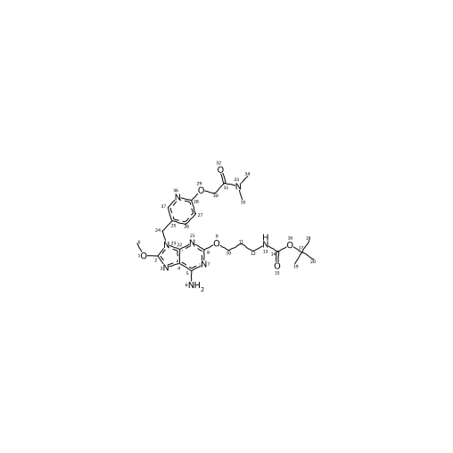 COc1nc2c(N)nc(OCCCNC(=O)OC(C)(C)C)nc2n1Cc1ccc(OCC(=O)N(C)C)nc1